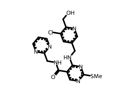 CSc1ncc(C(=O)NCc2ncccn2)c(NCc2cnc(CO)c(Cl)c2)n1